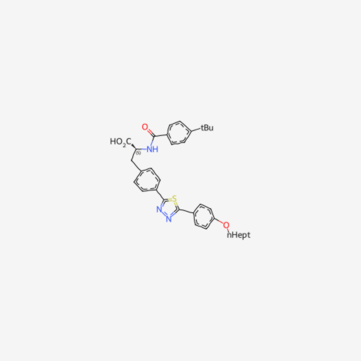 CCCCCCCOc1ccc(-c2nnc(-c3ccc(C[C@H](NC(=O)c4ccc(C(C)(C)C)cc4)C(=O)O)cc3)s2)cc1